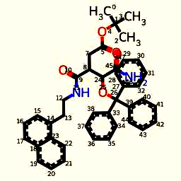 CC(C)(C)OC(=O)CC(C(=O)NCCc1cccc2ccccc12)C(OC(c1ccccc1)(c1ccccc1)c1ccccc1)C(N)=O